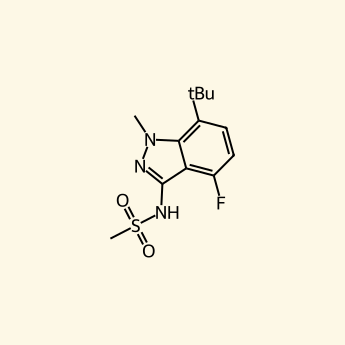 Cn1nc(NS(C)(=O)=O)c2c(F)ccc(C(C)(C)C)c21